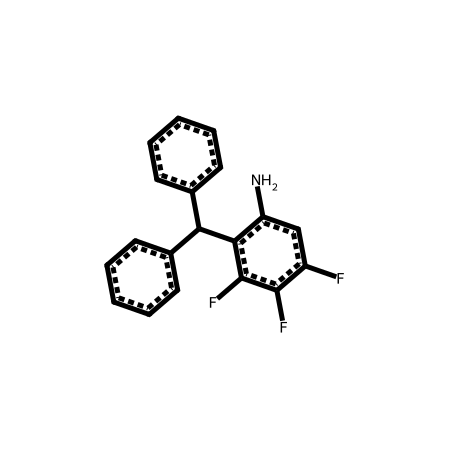 Nc1cc(F)c(F)c(F)c1C(c1ccccc1)c1ccccc1